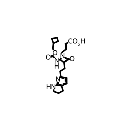 O=C(O)CCCN1C(=O)C(CCc2ccc3c(n2)NCCC3)C1NC(=O)OCC1CCC1